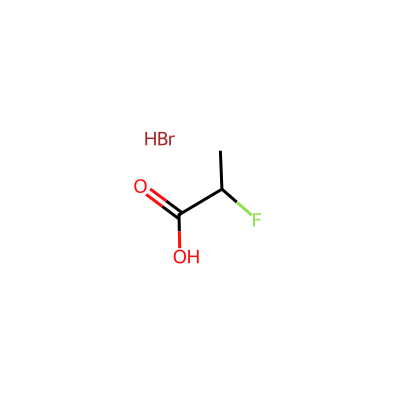 Br.CC(F)C(=O)O